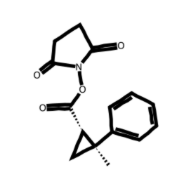 C[C@]1(c2ccccc2)C[C@@H]1C(=O)ON1C(=O)CCC1=O